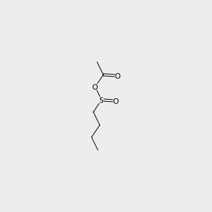 CCCCS(=O)OC(C)=O